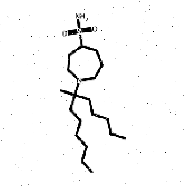 CCCCCCC(C)(CCCCC)N1CCCC(S(N)(=O)=O)CC1